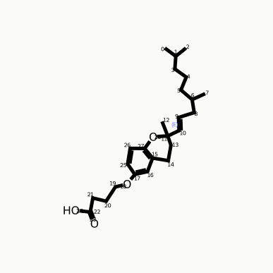 CC(C)CCCC(C)C/C=C/C1(C)CCc2cc(OCCCC(=O)O)ccc2O1